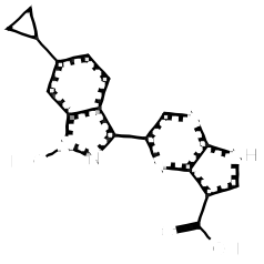 Cn1nc(-c2cnc3[nH]cc(C(=O)O)c3n2)c2ccc(C3CC3)cc21